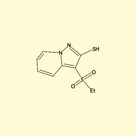 CCS(=O)(=O)c1c(S)nn2ccccc12